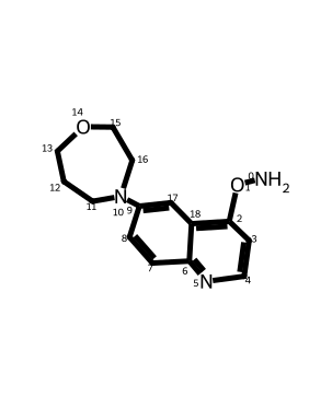 NOc1ccnc2ccc(N3CCCOCC3)cc12